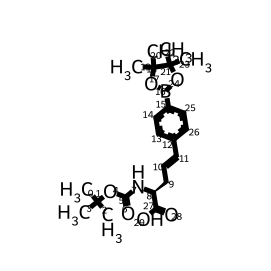 CC(C)(C)OC(=O)N[C@@H](C/C=C/c1ccc(B2OC(C)(C)C(C)(C)O2)cc1)C(=O)O